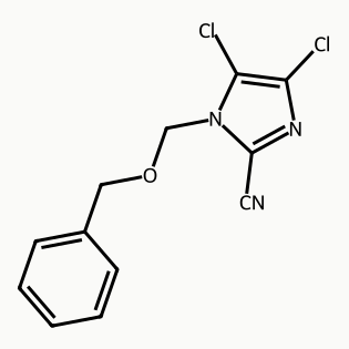 N#Cc1nc(Cl)c(Cl)n1COCc1ccccc1